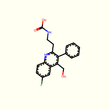 O=C(O)NCCc1nc2ccc(F)cc2c(CO)c1-c1ccccc1